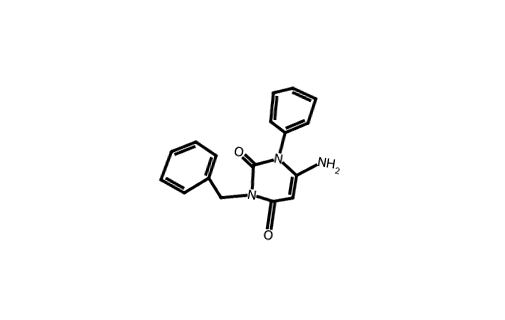 Nc1cc(=O)n(Cc2ccccc2)c(=O)n1-c1ccccc1